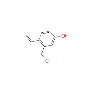 C=Cc1ccc(O)cc1CCl